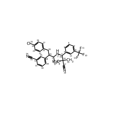 CC(N[C@@H](c1cccc(C(F)(F)F)c1)C(C)(C)C#N)C(Cc1ccc(Cl)cc1)c1cccc(C#N)c1